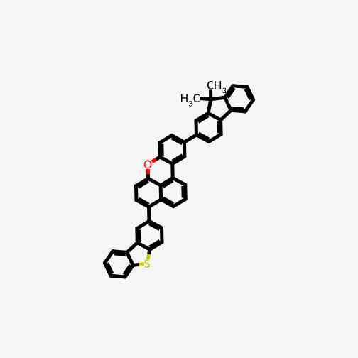 CC1(C)c2ccccc2-c2ccc(-c3ccc4c(c3)-c3cccc5c(-c6ccc7sc8ccccc8c7c6)ccc(c35)O4)cc21